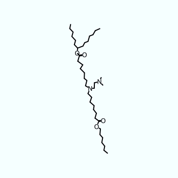 CCCCCCCOC(=O)CCCCCCCN(CCCCCCCC(=O)OC(CCCCCC)CCCCCCC)CCN(C)C